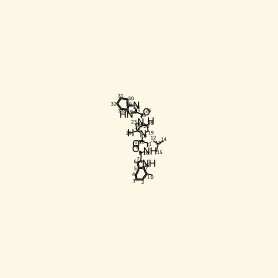 Cc1cccc2cc(C(=O)N[C@@H](CC(C)C)C(=O)N3C[C@@H]4C[C@H]3CN4C(=O)c3nc4ccccc4[nH]3)[nH]c12